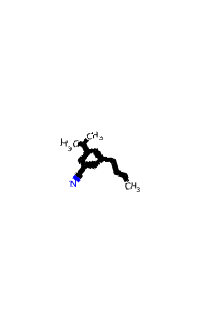 CCCCc1cc(C#N)cc([C](C)C)c1